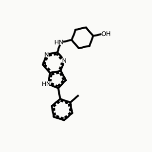 Cc1ccccc1-c1cc2nc(NC3CCC(O)CC3)ncc2[nH]1